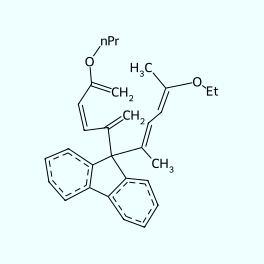 C=C(/C=C\C(=C)C1(/C(C)=C/C=C(\C)OCC)c2ccccc2-c2ccccc21)OCCC